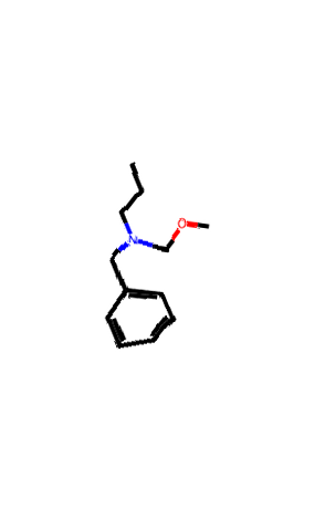 CCCN(COC)Cc1ccccc1